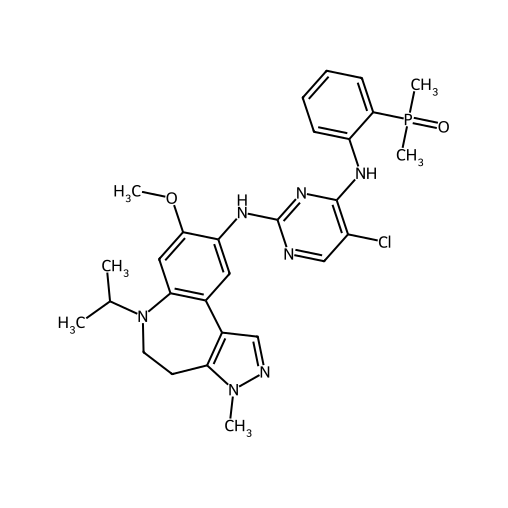 COc1cc2c(cc1Nc1ncc(Cl)c(Nc3ccccc3P(C)(C)=O)n1)-c1cnn(C)c1CCN2C(C)C